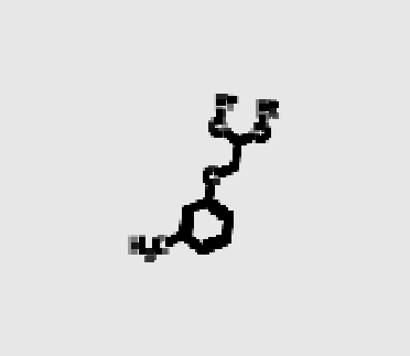 CCOC(COc1cccc(C)c1)OCC